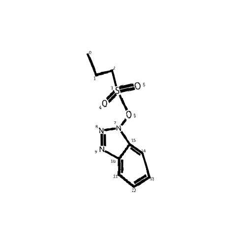 CCCS(=O)(=O)On1nnc2ccccc21